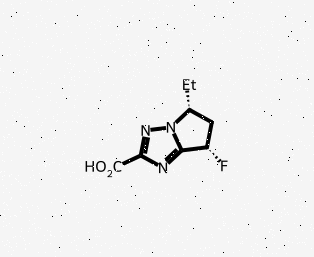 CC[C@@H]1C[C@H](F)c2nc(C(=O)O)nn21